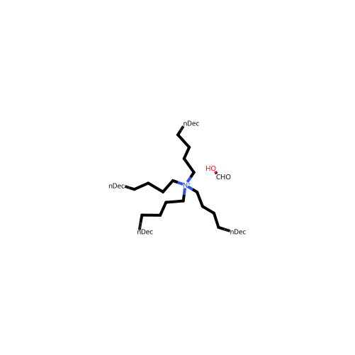 CCCCCCCCCCCCCC[N+](CCCCCCCCCCCCCC)(CCCCCCCCCCCCCC)CCCCCCCCCCCCCC.O=CO